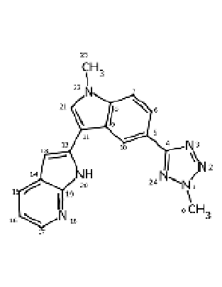 Cn1nnc(-c2ccc3c(c2)c(-c2cc4cccnc4[nH]2)cn3C)n1